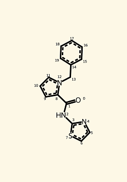 O=C(Nc1nccs1)c1cccn1Cc1ccccc1